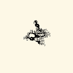 Cc1nc(-c2ccc(C(F)(F)C(C)C)cc2)nc(N)c1C(=O)NC(CNS(N)(=O)=O)C(=O)N(C)[C@@H]1C(=O)N[C@@H](C)C(=O)N[C@H](C(=O)O)Cc2ccc(OCC(O)CN)c(c2)-c2cc1cc(OCC(O)CN)c2O